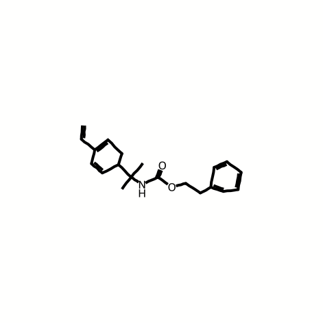 C=CC1=CCC(C(C)(C)NC(=O)OCCc2ccccc2)C=C1